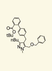 CCCCc1nn(C)c(COCc2ccccc2)c1Cc1ccc(-c2ccccc2C(=O)OC(C)(C)C)cc1